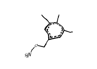 Cc1cc(CO[NH])cc(C)c1C